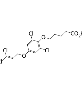 O=C(O)CCCCOc1c(Cl)cc(OCC=C(Cl)Cl)cc1Cl